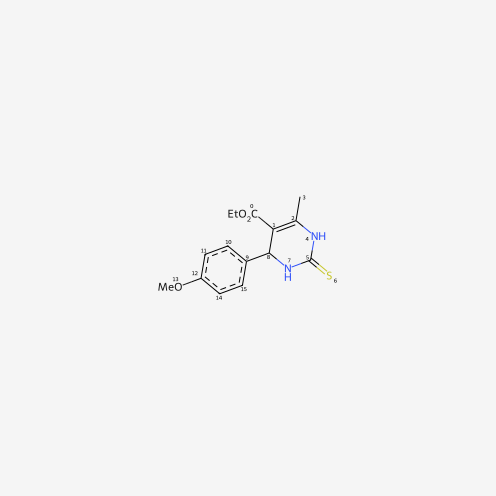 CCOC(=O)C1=C(C)NC(=S)NC1c1ccc(OC)cc1